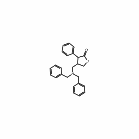 O=C1OCC(CN(Cc2ccccc2)Cc2ccccc2)C1c1ccccc1